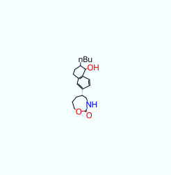 CCCCC1CCc2cc([C@H]3CCCOC(=O)NC3)ccc2C1O